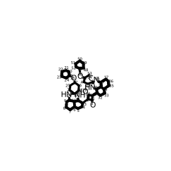 O=C1C(c2ccc3cccc4c3c2NC2(CCC(Oc3ccccc3)CC2)N4)=C(O)/C1=c1/ccc2cccc3c2c1NC1(CCC(Oc2ccccc2)CC1)N=3